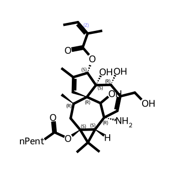 C/C=C(/C)C(=O)O[C@H]1C(C)=C[C@]23C(O)[C@@](N)(C=C(CO)[C@@H](O)[C@]12O)[C@@H]1C(C)(C)[C@]1(OC(=O)CCCCC)C[C@H]3C